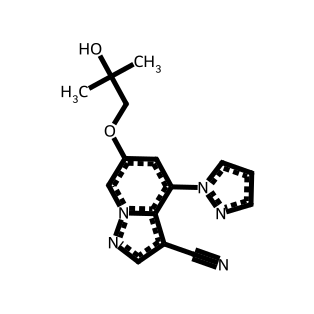 CC(C)(O)COc1cc(-n2cccn2)c2c(C#N)cnn2c1